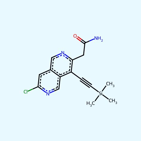 C[Si](C)(C)C#Cc1c(CC(N)=O)ncc2cc(Cl)ncc12